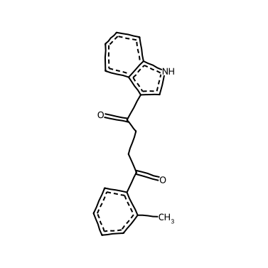 Cc1ccccc1C(=O)CCC(=O)c1c[nH]c2ccccc12